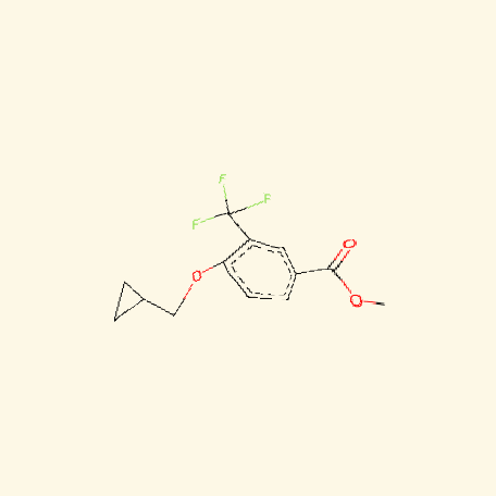 COC(=O)c1ccc(OCC2CC2)c(C(F)(F)F)c1